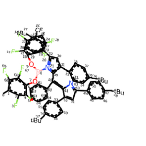 Cc1c(F)c(F)c(OB(Oc2c(F)c(F)c(C(F)(F)F)c(F)c2F)n2c(-c3ccc(C(C)(C)C)cc3)cc(-c3ccc(C(C)(C)C)cc3)c2/C(=C2\N=C(c3ccc(C(C)(C)C)cc3)C=C2c2ccc(C(C)(C)C)cc2)c2ccccc2)c(F)c1F